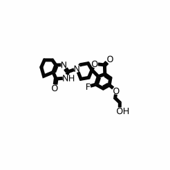 O=C1OC2(CCN(c3nc4c(c(=O)[nH]3)CCCC4)CC2)c2c(F)cc(OCCO)cc21